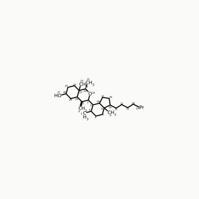 C=C1C(C2C(C)CCC3(C)C(CCCCC(C)C)CCC23)O[C@H](C)C2(C)CCC(O)CC12